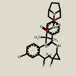 CC(C)(Oc1ccc(Cl)cc1C(F)F)C(=O)NC1CC2CCC(C1)N2c1ccc(C(=O)NC2CC2(F)F)cn1